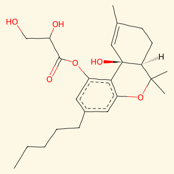 CCCCCc1cc(OC(=O)C(O)CO)c2c(c1)OC(C)(C)[C@@H]1CCC(C)=C[C@@]21O